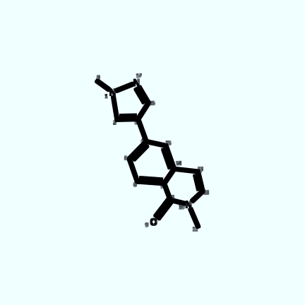 Cn1cc(-c2ccc3c(=O)n(C)c[c]c3c2)cn1